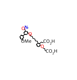 COc1cccc(-c2cc(OCCCCCCc3cccc(OCCCC(=O)O)c3CCC(=O)O)cc(C(=O)N(C)C)c2)c1